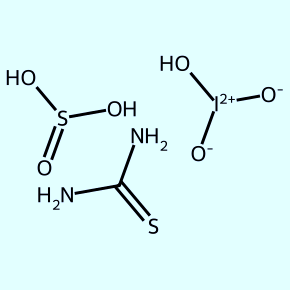 NC(N)=S.O=S(O)O.[O-][I+2]([O-])O